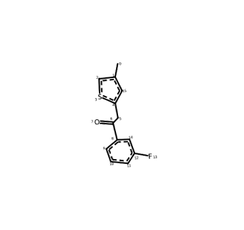 Cc1csc(CC(=O)c2cccc(F)c2)c1